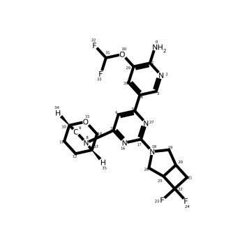 Nc1ncc(-c2cc(N3C[C@@H]4CC[C@H]3CO4)nc(N3CC4CC(F)(F)C4C3)n2)cc1OC(F)F